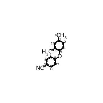 Cc1ccc(Oc2ccc(C#N)cc2)c(C)c1